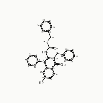 O=C(Nc1c(-c2ccccc2)c2cc(Br)ccc2c(=O)n1Cc1ccccc1)OCc1ccccc1